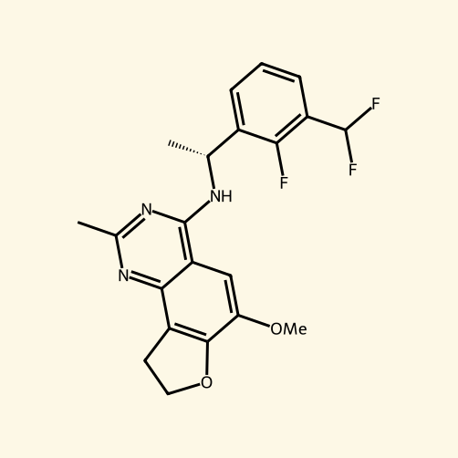 COc1cc2c(N[C@H](C)c3cccc(C(F)F)c3F)nc(C)nc2c2c1OCC2